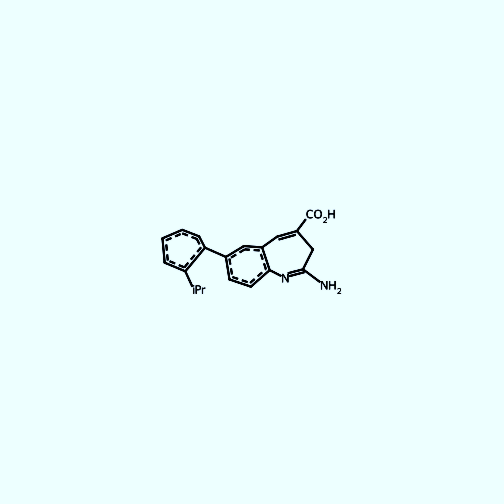 CC(C)c1ccccc1-c1ccc2c(c1)C=C(C(=O)O)CC(N)=N2